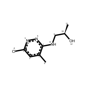 Cc1cc(Cl)nnc1NC[C@@H](C)O